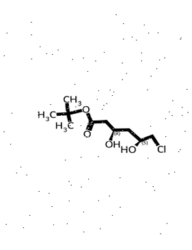 CC(C)(C)OC(=O)C[C@H](O)C[C@H](O)CCl